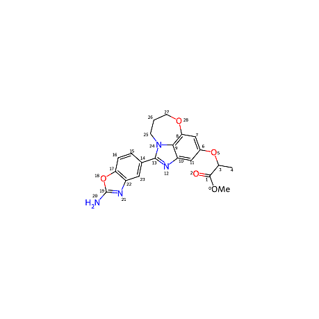 COC(=O)C(C)Oc1cc2c3c(c1)nc(-c1ccc4oc(N)nc4c1)n3CCCO2